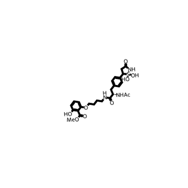 COC(=O)c1c(O)cccc1OCCCCNC(=O)[C@H](Cc1ccc(C2CC(=O)NS2(O)O)cc1)NC(C)=O